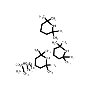 CC(=O)O.CC(=O)O.CC(=O)O.CC1(C)CCCC(C)(C)N1.CC1(C)CCCC(C)(C)N1.CC1(C)CCCC(C)(C)N1.N